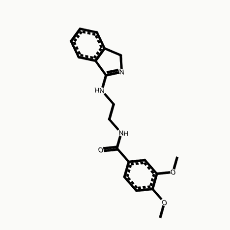 COc1ccc(C(=O)NCCNC2=NCc3ccccc32)cc1OC